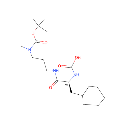 CN(CCCNC(=O)[C@H](CC1CCCCC1)NC(=O)O)C(=O)OC(C)(C)C